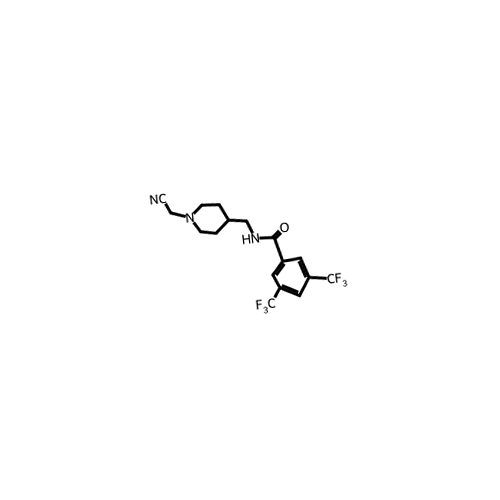 N#CCN1CCC(CNC(=O)c2cc(C(F)(F)F)cc(C(F)(F)F)c2)CC1